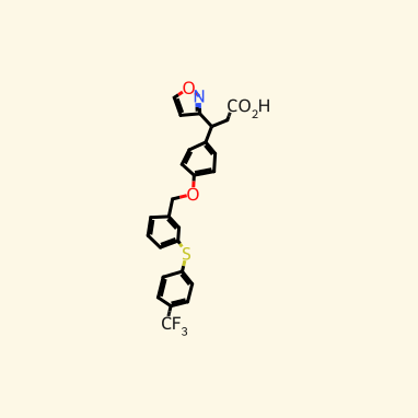 O=C(O)CC(c1ccc(OCc2cccc(Sc3ccc(C(F)(F)F)cc3)c2)cc1)c1ccon1